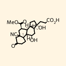 COC(=O)[C@@H]1CC2(C#N)CC(=O)CC[C@]2(C)[C@@H]2[C@@H]1[C@@H]1CC[C@@](O)(CCC(=O)O)[C@@]1(C)C[C@H]2O